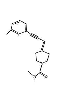 Cc1cccc(C#CC=C2CCN(C(=O)N(C)C)CC2)n1